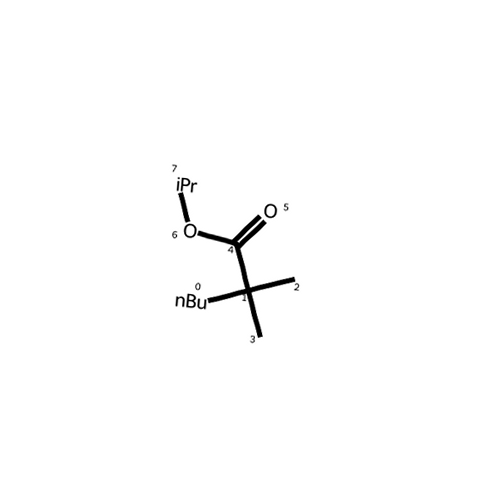 CCCCC(C)(C)C(=O)OC(C)C